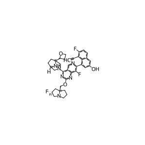 C#Cc1c(F)ccc2cc(O)cc(-c3ncc4c(N5C[C@@H]6CC[C@](C7CCO7)(C5)N6)nc(OC[C@@]56CCCN5C[C@H](F)C6)nc4c3F)c12